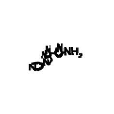 Nc1ccc(-c2ncnc3c2CCN3c2ccncc2)cn1